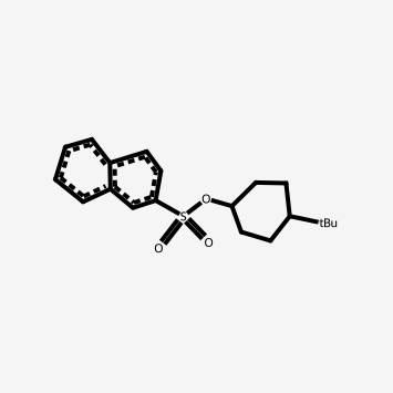 CC(C)(C)C1CCC(OS(=O)(=O)c2ccc3ccccc3c2)CC1